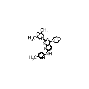 Cc1ccc(Nc2ccc3c(N4CCOCC4)nc(N4CC(C)OC(C)C4)nc3n2)nc1